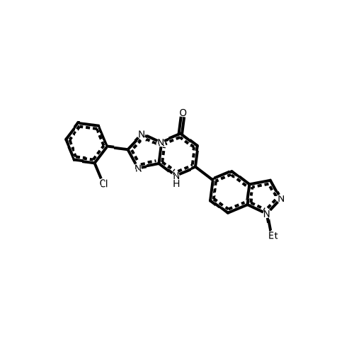 CCn1ncc2cc(-c3cc(=O)n4nc(-c5ccccc5Cl)nc4[nH]3)ccc21